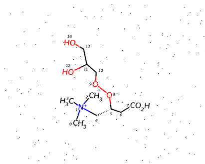 C[N+](C)(C)C[C@@H](CC(=O)O)OOCC(O)CO